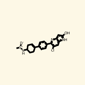 C[S+]([O-])NC1CC=C(c2ccc(-c3nc4cc(O)[nH]c4cc3Cl)cc2)CC1